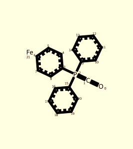 O=C=P(c1ccccc1)(c1ccccc1)c1ccccc1.[Fe]